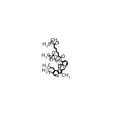 Cc1c(Cn2cccc(NC(=O)C(CC/C=C/C(=O)N(C)C)OC(=O)N(C)C)c2=O)[nH]c2c(CC(C)C)c(F)cnc12